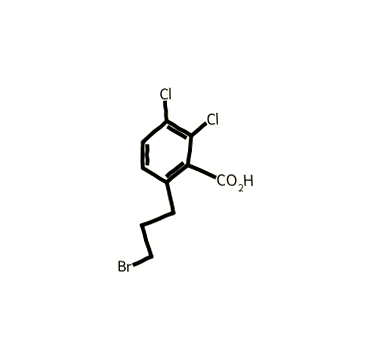 O=C(O)c1c(CCCBr)ccc(Cl)c1Cl